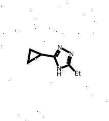 CCc1nnc(C2CC2)[nH]1